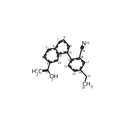 C=C(O)c1ccc2cccc(-c3ccc(CC)cc3C#N)c2c1